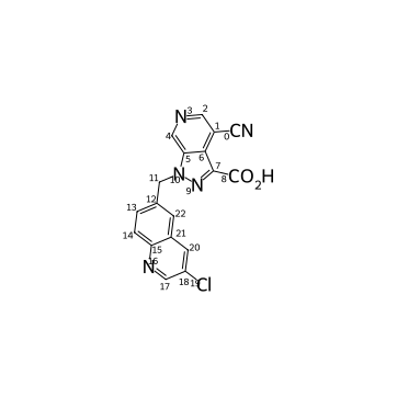 N#Cc1cncc2c1c(C(=O)O)nn2Cc1ccc2ncc(Cl)cc2c1